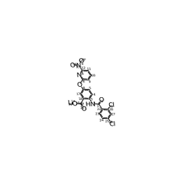 O=C(Nc1ccc(Oc2cccc([N+](=O)[O-])n2)cc1C(=O)[O-])c1ccc(Cl)cc1Cl.[Li+]